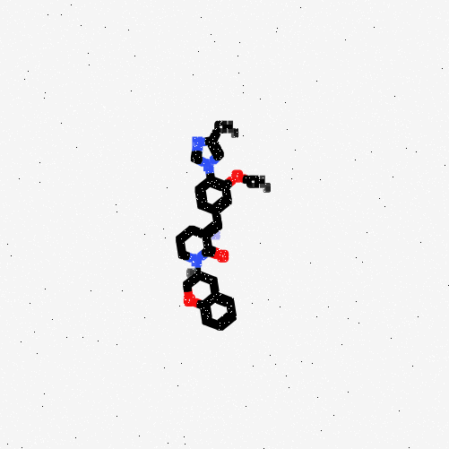 COc1cc(/C=C2\CCCN([C@H]3COc4ccccc4C3)C2=O)ccc1-n1cnc(C)c1